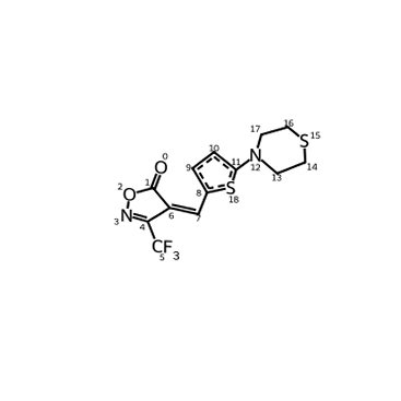 O=C1ON=C(C(F)(F)F)C1=Cc1ccc(N2CCSCC2)s1